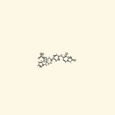 O=C1CN2C=CC(Sc3cnc(N4CCC5(CC4)Cn4nccc4[C@H]5NC(=O)O)cn3)=C(Cl)C2=N1